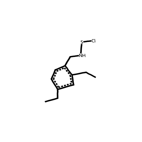 CCc1ccc(CNSCl)c(CC)c1